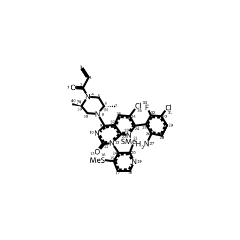 C=CC(=O)N1C[C@H](C)N(c2nc(=O)n(-c3c(SC)ccnc3SC)c3nc(-c4c(N)ccc(Cl)c4F)c(Cl)cc23)C[C@H]1C